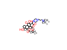 COCC1OC(=O)/C(=C\N2CCN(CCCN(C)C)CC2)C2=C(O)C(=O)C3=C(C(OC(C)=O)CC4(C)C(O)CCC34)C21C